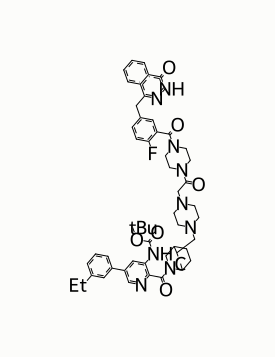 CCc1cccc(-c2cnc(C(=O)N3CC4CCC3CC4CN3CCN(CC(=O)N4CCN(C(=O)c5cc(Cc6n[nH]c(=O)c7ccccc67)ccc5F)CC4)CC3)c(NC(=O)OC(C)(C)C)c2)c1